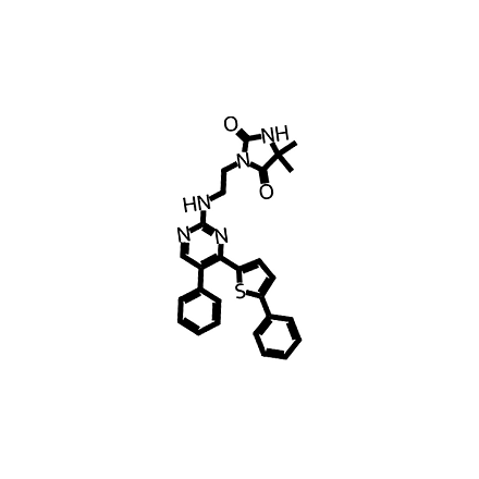 CC1(C)NC(=O)N(CCNc2ncc(-c3ccccc3)c(-c3ccc(-c4ccccc4)s3)n2)C1=O